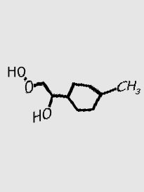 CC1CCC(C(O)COO)CC1